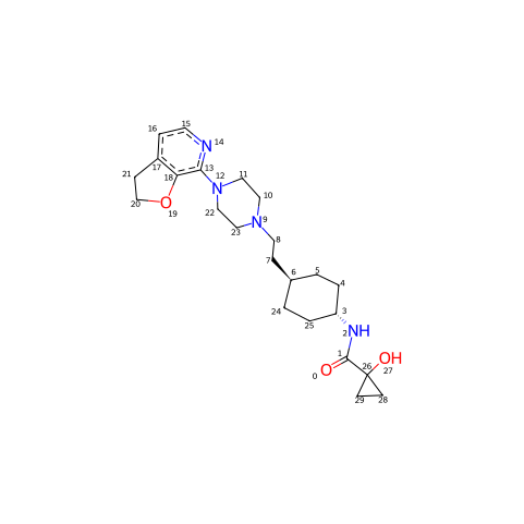 O=C(N[C@H]1CC[C@H](CCN2CCN(c3nccc4c3OCC4)CC2)CC1)C1(O)CC1